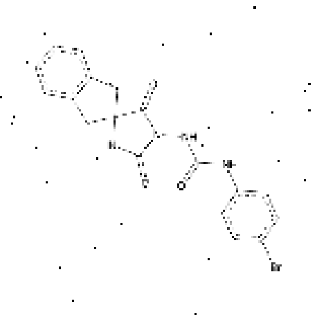 O=C(Nc1ccc(Br)cc1)NN1C(=O)NC2(Cc3ccccc3C2)C1=O